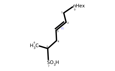 CCCCCCC/C=C/CC(C)S(=O)(=O)O